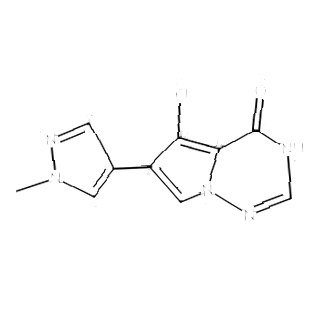 Cn1cc(-c2cn3nc[nH]c(=O)c3c2Cl)cn1